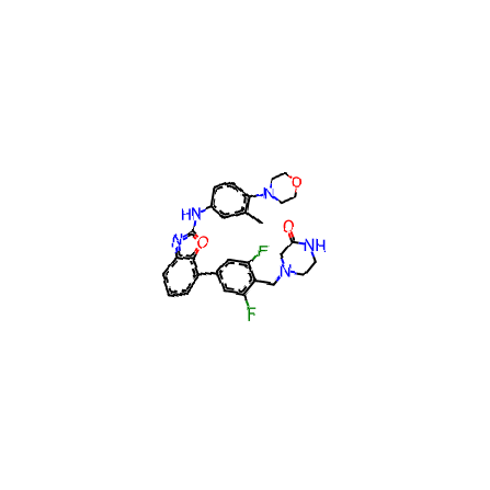 Cc1cc(Nc2nc3cccc(-c4cc(F)c(CN5CCNC(=O)C5)c(F)c4)c3o2)ccc1N1CCOCC1